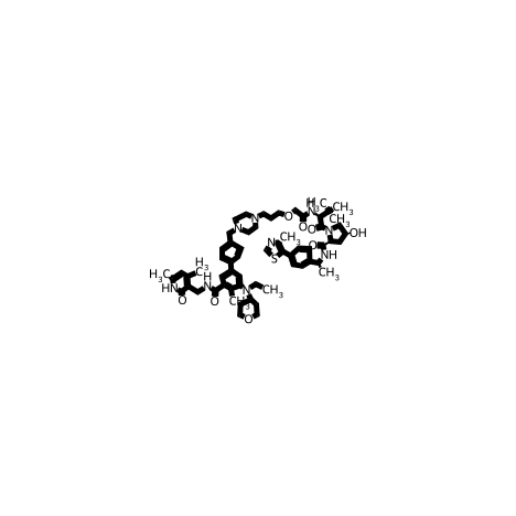 CCN(c1cc(-c2ccc(CN3CCN(CCCOCC(=O)N[C@H](C(=O)N4C[C@H](O)C[C@H]4C(=O)N[C@@H](C)c4ccc(-c5scnc5C)cc4)C(C)(C)C)CC3)cc2)cc(C(=O)NCc2c(C)cc(C)[nH]c2=O)c1C)C1CCOCC1